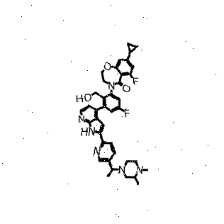 CC1CN(C(C)c2ccc(-c3cc4c(-c5cc(F)cc(N6CCOc7cc(C8CC8)cc(F)c7C6=O)c5CO)ccnc4[nH]3)nc2)CCN1C